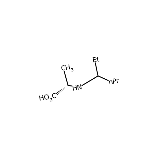 CCCC(CC)N[C@@H](C)C(=O)O